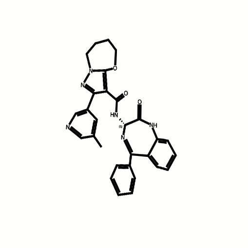 Cc1cncc(-c2nn3c(c2C(=O)N[C@H]2N=C(c4ccccc4)c4ccccc4NC2=O)OCCCC3)c1